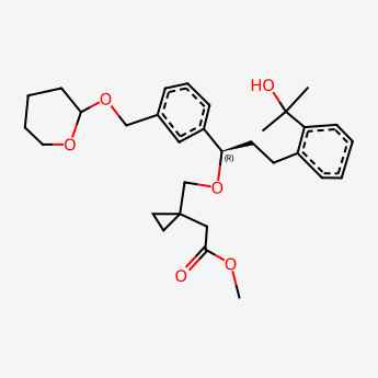 COC(=O)CC1(CO[C@H](CCc2ccccc2C(C)(C)O)c2cccc(COC3CCCCO3)c2)CC1